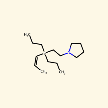 C/C=C\[Si](CCC)(CCC)CCN1CCCC1